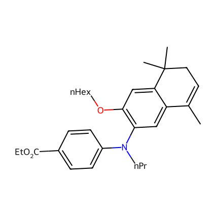 CCCCCCOc1cc2c(cc1N(CCC)c1ccc(C(=O)OCC)cc1)C(C)=CCC2(C)C